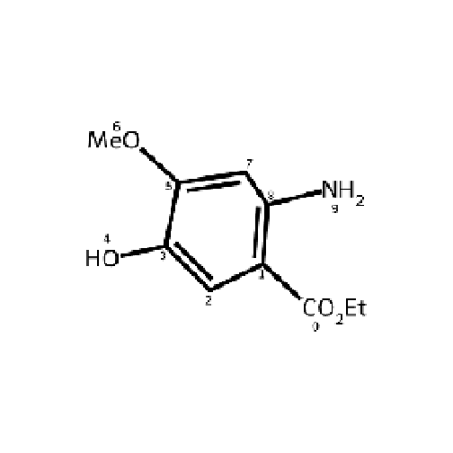 CCOC(=O)c1cc(O)c(OC)cc1N